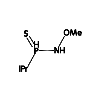 CON[PH](=S)C(C)C